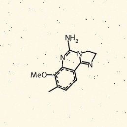 COc1c(C)ccc2c1N=C(N)N1CCN=C21